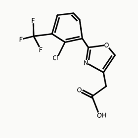 O=C(O)Cc1coc(-c2cccc(C(F)(F)F)c2Cl)n1